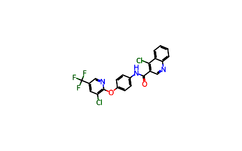 O=C(Nc1ccc(Oc2ncc(C(F)(F)F)cc2Cl)cc1)c1cnc2ccccc2c1Cl